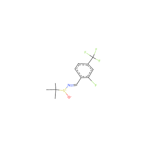 CC(C)(C)[S+]([O-])N=Cc1ccc(C(F)(F)F)cc1F